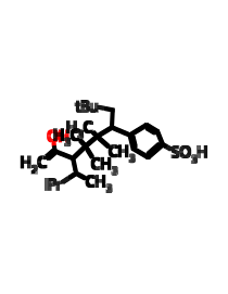 C=C(O)C(C(C)C(C)C)C(C)(C)C(C)(C)C(CC(C)(C)C)c1ccc(S(=O)(=O)O)cc1